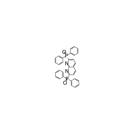 O=P(c1ccccc1)(c1ccccc1)c1ccc2ccc(P(=O)(c3ccccc3)c3ccccc3)nc2n1